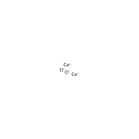 [Ca+].[Ca+].[Cl-].[Cl-]